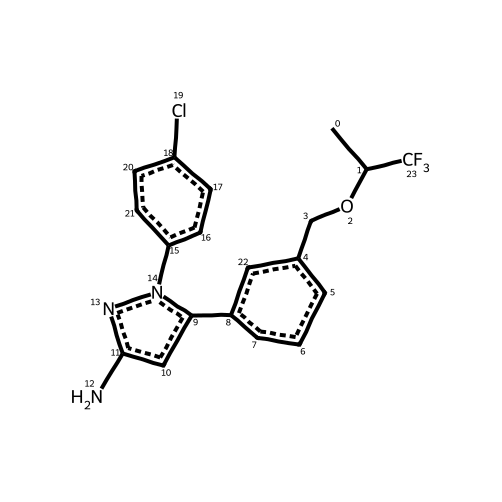 CC(OCc1cccc(-c2cc(N)nn2-c2ccc(Cl)cc2)c1)C(F)(F)F